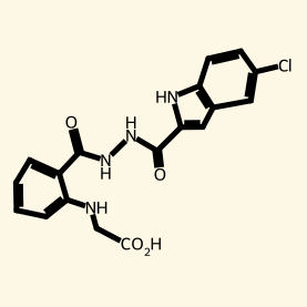 O=C(O)CNc1ccccc1C(=O)NNC(=O)c1cc2cc(Cl)ccc2[nH]1